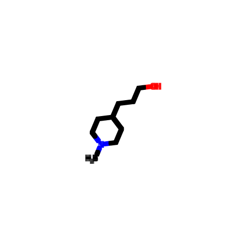 BN1CCC(CCCO)CC1